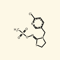 CS(=O)(=O)ON=C1SCCN1Cc1ccc(Cl)nc1